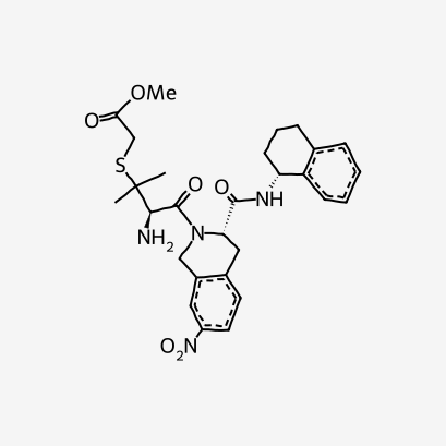 COC(=O)CSC(C)(C)[C@H](N)C(=O)N1Cc2cc([N+](=O)[O-])ccc2C[C@H]1C(=O)N[C@@H]1CCCc2ccccc21